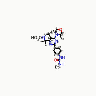 CCNC(=O)Nc1ccc(-c2nc(N3CCOCC3C)c3c(n2)C(C)(C)N(C(=O)O)C[C@H]3C(C)(C)C)cc1